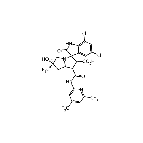 O=C(Nc1cc(C(F)(F)F)cc(C(F)(F)F)n1)C1C2C[C@@](O)(C(F)(F)F)CN2C2(C(=O)Nc3c(Cl)cc(Cl)cc32)C1C(=O)O